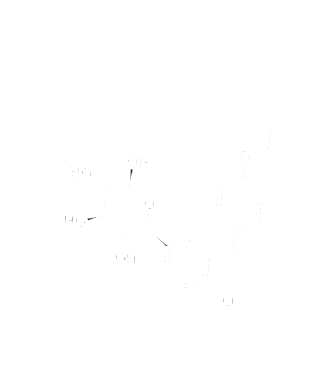 CCOc1ccc(Cc2cc([C@@H]3O[C@H](O)[C@@H](O)[C@H](O)[C@H]3O)ccc2Cl)cc1